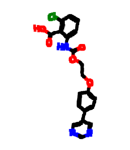 O=C(Nc1cccc(Cl)c1C(=O)O)OCCOc1ccc(-c2cncnc2)cc1